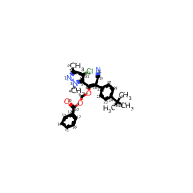 Cc1nn(C)c(/C(OCOC(=O)c2ccccc2)=C(\C#N)c2ccc(C(C)(C)C)cc2)c1Cl